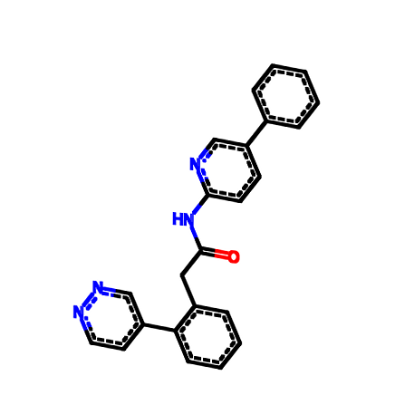 O=C(Cc1ccccc1-c1ccnnc1)Nc1ccc(-c2ccccc2)cn1